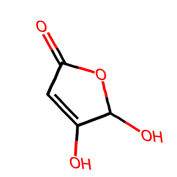 O=C1C=C(O)C(O)O1